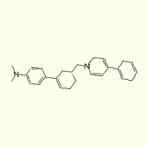 CN(C)c1ccc(C2=CCCC(CN3C=CC(C4=CCC=CC4)=CC3)C2)cc1